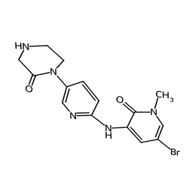 Cn1cc(Br)cc(Nc2ccc(N3CCNCC3=O)cn2)c1=O